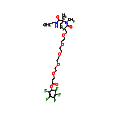 CN(C(=O)CCOCCOCCOCCOCCOCCC(=O)Oc1c(F)c(F)c(F)c(F)c1F)C(C)(C)C(=O)NCC=O